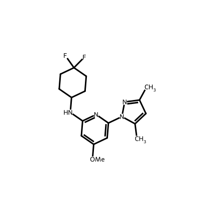 COc1cc(NC2CCC(F)(F)CC2)nc(-n2nc(C)cc2C)c1